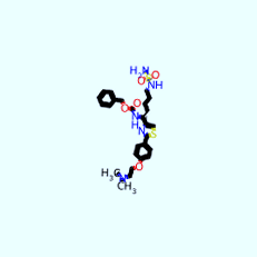 CN(C)CCOc1ccc(-c2nc([C@H](CCCCNS(N)(=O)=O)NC(=O)OCc3ccccc3)cs2)cc1